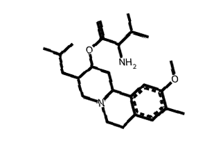 C=C(OC1CC2c3cc(OC)c(C)cc3CCN2CC1CC(C)C)C(N)C(C)C